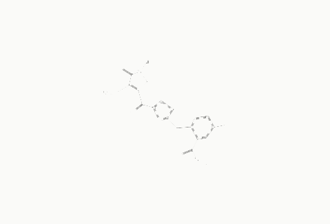 COC1=C(C(=O)c2ccc(Cc3ccc(F)cc3C(N)=O)o2)CN(C(C)C)C1=O